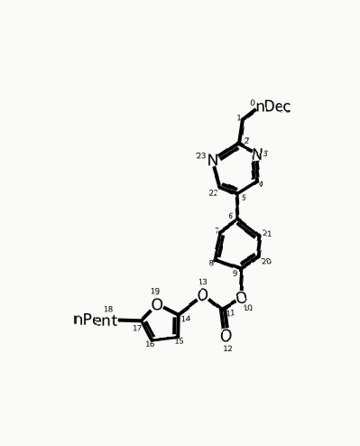 CCCCCCCCCCCc1ncc(-c2ccc(OC(=O)Oc3ccc(CCCCC)o3)cc2)cn1